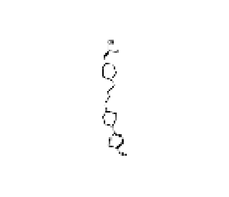 CCCCc1ccc([C@H]2CC[C@H](CCCC[C@H]3CC[C@H](C=C(F)C#N)CC3)CC2)cc1